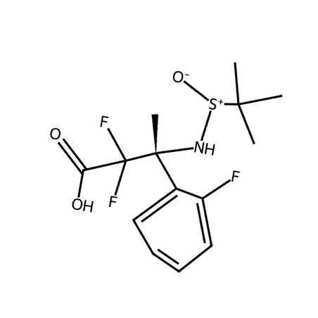 CC(C)(C)[S+]([O-])N[C@](C)(c1ccccc1F)C(F)(F)C(=O)O